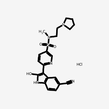 CN(CCN1CCCC1)S(=O)(=O)c1ccc(-c2c(O)[nH]c3ccc(C#N)cc23)nc1.Cl